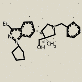 CCc1nn(C2CCCC2)c2cc([C@@H]3CN(Cc4ccccc4)C[C@@]3(C)CO)ccc12